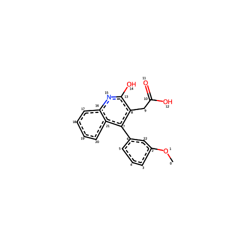 COc1cccc(-c2c(CC(=O)O)c(O)nc3ccccc23)c1